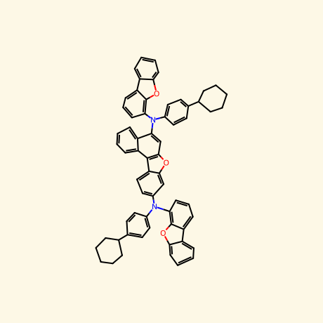 c1ccc2c(c1)oc1c(N(c3ccc(C4CCCCC4)cc3)c3ccc4c(c3)oc3cc(N(c5ccc(C6CCCCC6)cc5)c5cccc6c5oc5ccccc56)c5ccccc5c34)cccc12